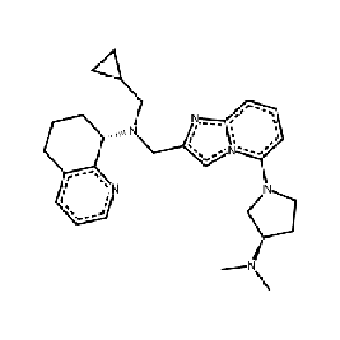 CN(C)[C@@H]1CCN(c2cccc3nc(CN(CC4CC4)[C@H]4CCCc5cccnc54)cn23)C1